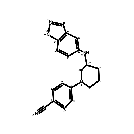 N#Cc1ccc(N2CCCC(Nc3ccc4[nH]ncc4c3)C2)cc1